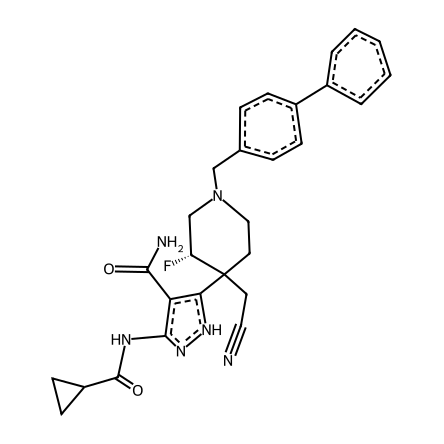 N#CCC1(c2[nH]nc(NC(=O)C3CC3)c2C(N)=O)CCN(Cc2ccc(-c3ccccc3)cc2)C[C@H]1F